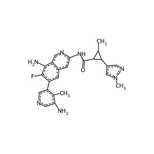 Cc1c(N)cncc1-c1cc2cc(NC(=O)C3C(C)C3c3cnn(C)c3)ncc2c(N)c1F